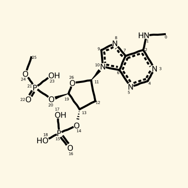 CNc1ncnc2c1ncn2[C@H]1C[C@H](OP(=O)(O)O)[C@@H](OP(=O)(O)OC)O1